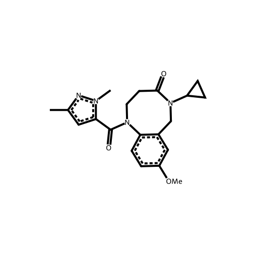 COc1ccc2c(c1)CN(C1CC1)C(=O)CCN2C(=O)c1cc(C)nn1C